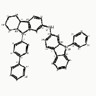 c1ccc(-c2ccc(N3c4cc(Nc5ccc6c7ccccc7n(-c7ccccc7)c6c5)ccc4C4CCCCC43)cc2)cc1